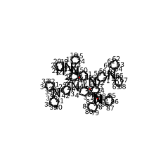 N#Cc1ccc(-n2c3ccc(N(c4ccccc4)c4ccccc4)cc3c3cc(N(c4ccccc4)c4ccccc4)ccc32)c(-c2cc(N)ccc2-n2c3ccc(N(c4ccccc4)c4ccccc4)cc3c3cc(N(c4ccccc4)c4ccccc4)ccc32)c1